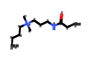 CCCCCCCCCCCC(=O)NCCC[N+](C)(C)CCCS(=O)(=O)O